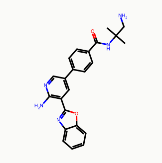 CC(C)(CN)NC(=O)c1ccc(-c2cnc(N)c(-c3nc4ccccc4o3)c2)cc1